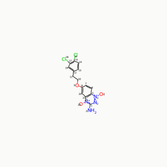 Nc1n[n+]([O-])c2ccc(OCCc3ccc(Cl)c(Cl)c3)cc2[n+]1[O-]